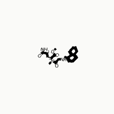 COC(=O)[C@H](CCC(N)=O)N(C)C(=O)CNCc1cccc2ccccc12